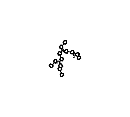 c1ccc(-c2cccc(N(c3ccc(-c4ccc5c(c4)sc4c6ccccc6ccc54)cc3)c3cccc(-c4cccc(N(c5cccc(-c6ccccc6)c5)c5ccc6cc(-c7ccccc7)ccc6c5)c4)c3)c2)cc1